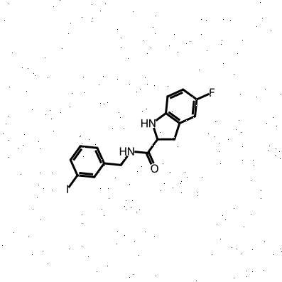 O=C(NCc1cccc(I)c1)C1Cc2cc(F)ccc2N1